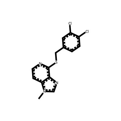 Cn1cnc2c(SCc3ccc(Cl)c(Cl)c3)nccc21